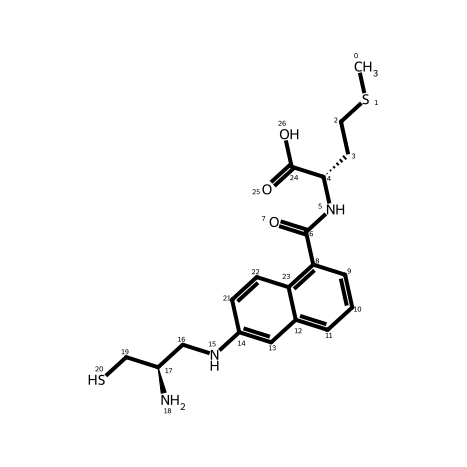 CSCC[C@H](NC(=O)c1cccc2cc(NC[C@@H](N)CS)ccc12)C(=O)O